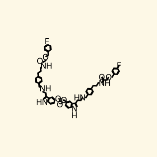 O=C(COCc1ccc(F)cc1)NCCCc1ccc(CNCCc2c[nH]c3ccc(OS(=O)Oc4ccc5[nH]cc(CCNCc6ccc(CCCNC(=O)COCc7ccc(F)cc7)cc6)c5c4)cc23)cc1